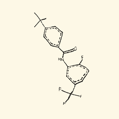 CC(C)(C)c1ccc(C(=O)Nc2cc(C(F)(F)F)ccc2F)cc1